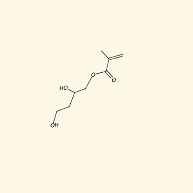 C=C(C)C(=O)OCC(O)CCO